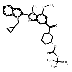 COc1cc(C(=O)N2CCC[C@@H](NC(=O)OC(C)(C)C)C2)cc2nc(-c3cc4ccccc4n3CC3CC3)n(C)c12